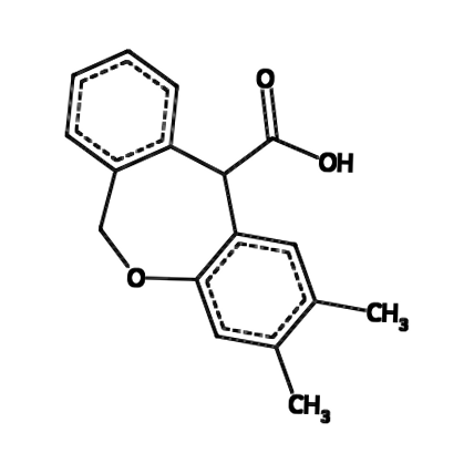 Cc1cc2c(cc1C)C(C(=O)O)c1ccccc1CO2